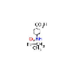 CCC(C)(C)C(=O)Nc1ccc(C(=O)O)cc1